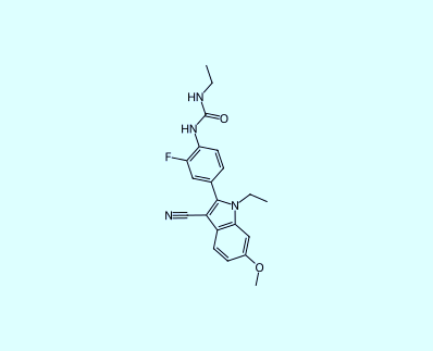 CCNC(=O)Nc1ccc(-c2c(C#N)c3ccc(OC)cc3n2CC)cc1F